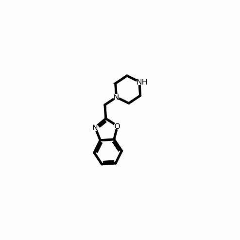 [CH]1CNCCN1Cc1nc2ccccc2o1